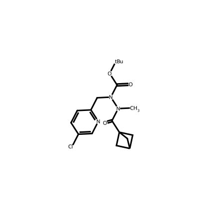 CN(C(=O)C12CC(C1)C2)N(Cc1ccc(Cl)cn1)C(=O)OC(C)(C)C